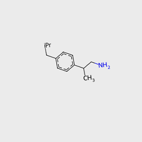 CC(C)Cc1ccc(C(C)CN)cc1